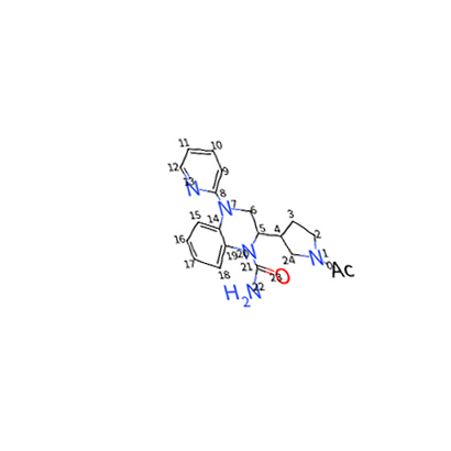 CC(=O)N1CCC(C2CN(c3ccccn3)c3ccccc3N2C(N)=O)C1